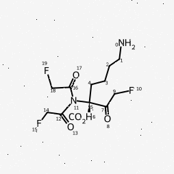 NCCCC[C@](C(=O)O)(C(=O)CF)N(C(=O)CF)C(=O)CF